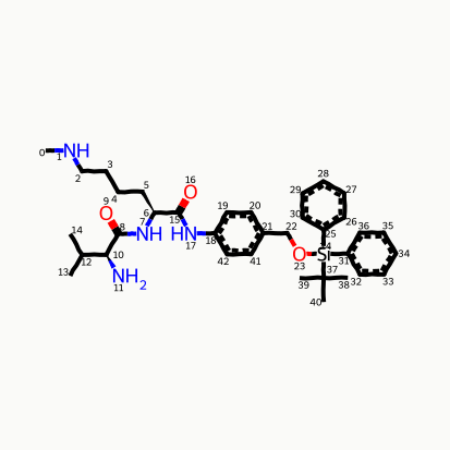 CNCCCC[C@H](NC(=O)[C@@H](N)C(C)C)C(=O)Nc1ccc(CO[Si](c2ccccc2)(c2ccccc2)C(C)(C)C)cc1